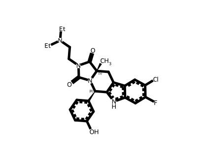 CCN(CC)CCN1C(=O)N2[C@H](c3cccc(O)c3)c3[nH]c4cc(F)c(Cl)cc4c3C[C@@]2(C)C1=O